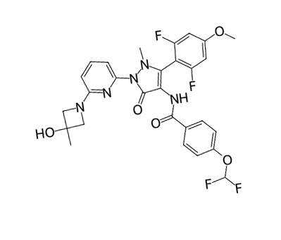 COc1cc(F)c(-c2c(NC(=O)c3ccc(OC(F)F)cc3)c(=O)n(-c3cccc(N4CC(C)(O)C4)n3)n2C)c(F)c1